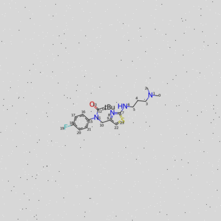 CN(C)CCCNc1nc(CN(C(=O)C(C)(C)C)c2ccc(F)cc2)cs1